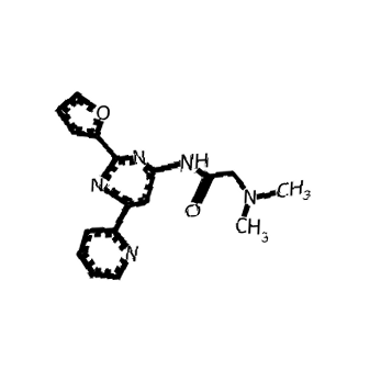 CN(C)CC(=O)Nc1cc(-c2ccccn2)nc(-c2ccco2)n1